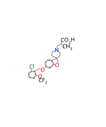 CC(CN1CCC2(CC1)COc1cc(OCc3c(Cl)cccc3OC(F)(F)F)ccc12)C(=O)O